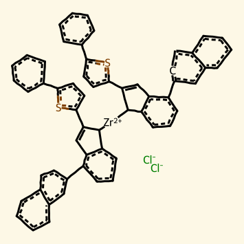 C1=C(c2ccc(-c3ccccc3)s2)[CH]([Zr+2][CH]2C(c3ccc(-c4ccccc4)s3)=Cc3c(-c4ccc5ccccc5c4)cccc32)c2cccc(-c3ccc4ccccc4c3)c21.[Cl-].[Cl-]